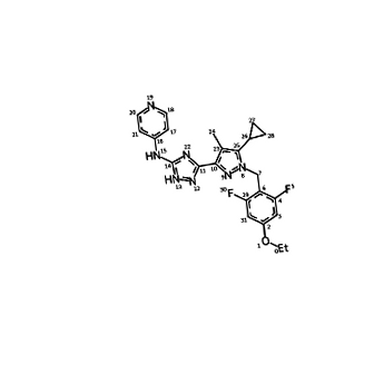 CCOc1cc(F)c(Cn2nc(-c3n[nH]c(Nc4ccncc4)n3)c(C)c2C2CC2)c(F)c1